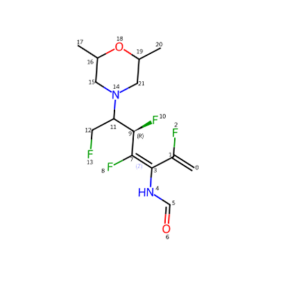 C=C(F)/C(NC=O)=C(/F)[C@H](F)C(CF)N1CC(C)OC(C)C1